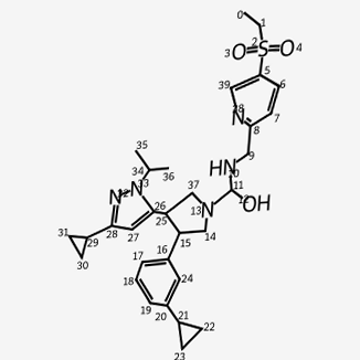 CCS(=O)(=O)c1ccc(CNC(O)N2CC(c3cccc(C4CC4)c3)C(c3cc(C4CC4)nn3C(C)C)C2)nc1